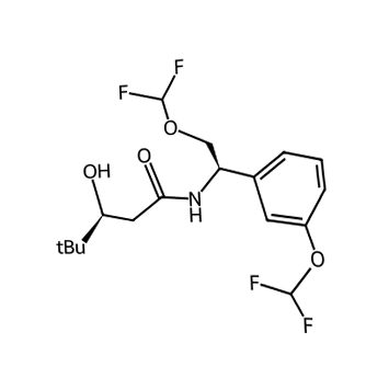 CC(C)(C)[C@@H](O)CC(=O)N[C@@H](COC(F)F)c1cccc(OC(F)F)c1